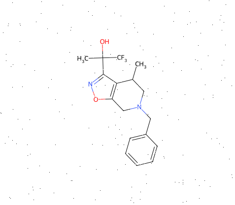 CC1CN(Cc2ccccc2)Cc2onc(C(C)(O)C(F)(F)F)c21